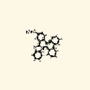 COc1ccc2c(c1)c1nc3ccccc3n1c1c3ccccc3c3ccccc3c21